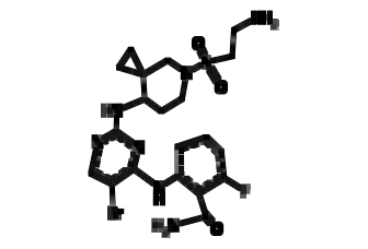 NCCS(=O)(=O)N1CCC(Nc2ncc(Br)c(Nc3cccc(F)c3C(N)=O)n2)C2(CC2)C1